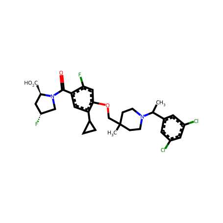 CC(c1cc(Cl)cc(Cl)c1)N1CCC(C)(COc2cc(F)c(C(=O)N3C[C@H](F)C[C@H]3C(=O)O)cc2C2CC2)CC1